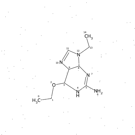 CCOC1NC(N)=NC2C1N=CN2CC